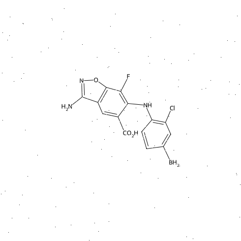 Bc1ccc(Nc2c(C(=O)O)cc3c(N)noc3c2F)c(Cl)c1